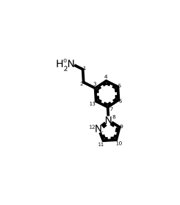 NCCc1cccc(-n2cccn2)c1